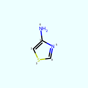 Nc1[c]scn1